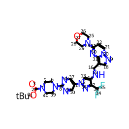 CC(C)(C)OC(=O)N1CCN(c2ncc(-n3cc(NCc4cnn5ccc(N6CCOCC6)nc45)c(C(F)F)n3)cn2)CC1